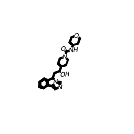 O=C(NC1CCOCC1)N1CCC([C@@H](O)CC2c3ccccc3-c3cncn32)CC1